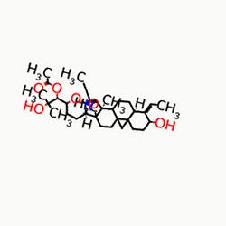 C/C=C1\C(O)CCC23CC24CCC2(C)[C@H]5CCC([C@H](OC(C)=O)C(C)(C)O)OC56N=C(C)OC6[C@@]2(C)C4CC[C@@H]13